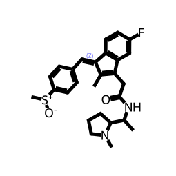 CC1=C(CC(=O)NC(C)C2CCCN2C)c2cc(F)ccc2/C1=C/c1ccc([S+](C)[O-])cc1